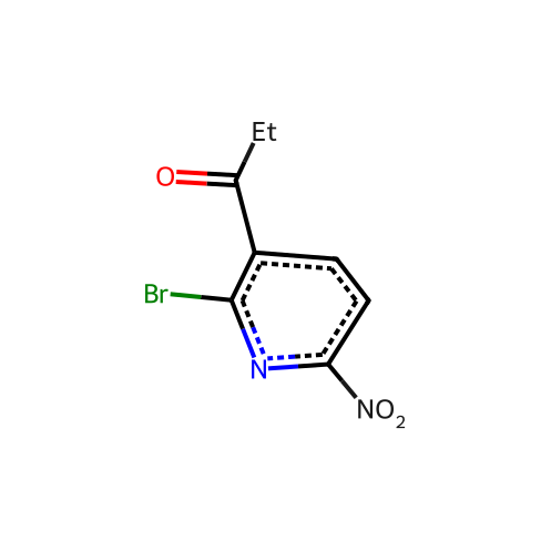 CCC(=O)c1ccc([N+](=O)[O-])nc1Br